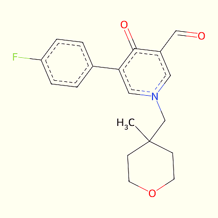 CC1(Cn2cc(C=O)c(=O)c(-c3ccc(F)cc3)c2)CCOCC1